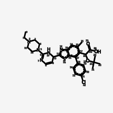 CCN1CCN(C2=NC=CC(c3nc4cc(C)c([C@H](OC(C)(C)C)C(=O)O)c(-c5ccc(Cl)cc5)c4s3)N2)CC1